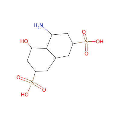 NC1CC(S(=O)(=O)O)CC2CC(S(=O)(=O)O)CC(O)C12